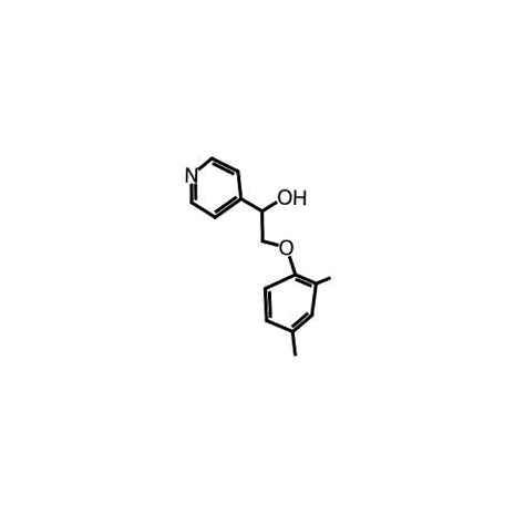 Cc1ccc(OCC(O)c2ccncc2)c(C)c1